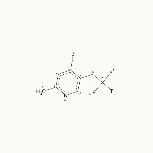 Cc1cc(F)c(CC(F)(F)F)cn1